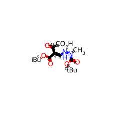 CCC(C)OC(=O)C(=CNN(C)C(=O)OC(C)(C)C)C(=O)C(=O)O